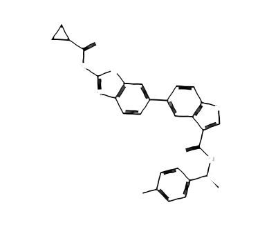 C[C@H](NC(=O)c1c[nH]c2ccc(-c3ccc4nc(NC(=O)C5CC5)sc4c3)cc12)c1ccc(F)cc1